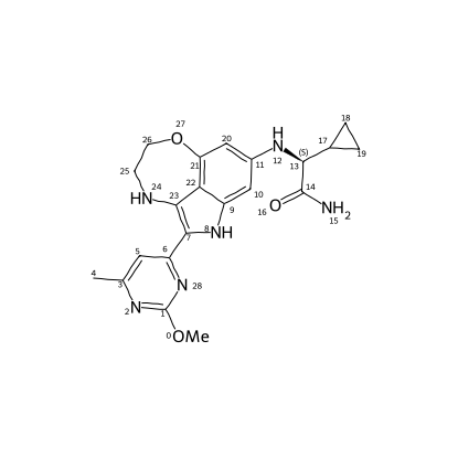 COc1nc(C)cc(-c2[nH]c3cc(N[C@H](C(N)=O)C4CC4)cc4c3c2NCCO4)n1